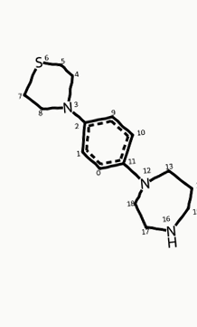 c1cc(N2CCSCC2)ccc1N1CCCNCC1